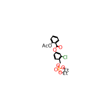 CCOP(=O)(OCC)OCc1ccc(OC(=O)c2ccccc2OC(C)=O)cc1Cl